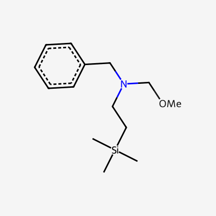 COCN(CC[Si](C)(C)C)Cc1ccccc1